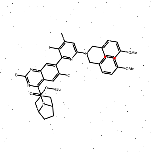 COc1ccc(CN(Cc2ccc(OC)cc2)c2cc(C)c(I)c(-c3cc4nc(F)nc(N5CC6CCC(C5)N6C(=O)OC(C)(C)C)c4cc3Cl)n2)cc1